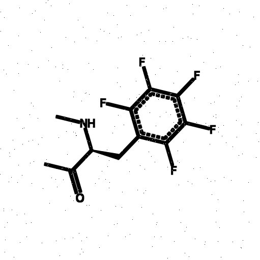 CN[C@@H](Cc1c(F)c(F)c(F)c(F)c1F)C(C)=O